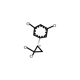 Clc1cc(Cl)cc([C@@H]2CC2(Cl)Cl)c1